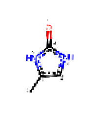 Cc1[c][nH]c(=O)[nH]1